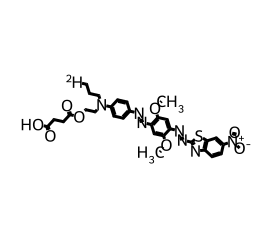 [2H]CCCN(CCOC(=O)CCC(=O)O)c1ccc(N=Nc2cc(OC)c(N=Nc3nc4ccc([N+](=O)[O-])cc4s3)cc2OC)cc1